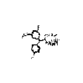 [N-]=[N+]=NC(C(=O)O)C(c1ccc(F)cc1)c1cc(F)cc(F)c1